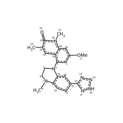 COc1cc(N2CCN(C)c3ccc(-c4nn[nH]n4)cc32)c2cc(C)c(=O)n(C)c2c1